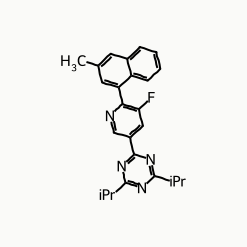 Cc1cc(-c2ncc(-c3nc(C(C)C)nc(C(C)C)n3)cc2F)c2ccccc2c1